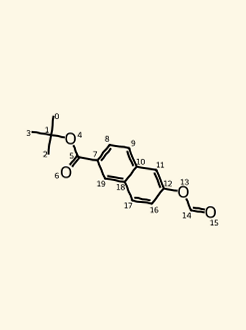 CC(C)(C)OC(=O)c1ccc2cc(OC=O)ccc2c1